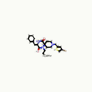 COCCN1C(=O)C(CC2CCCCC2)NC(=O)C12CCN(Cc1cc(Br)cs1)CC2